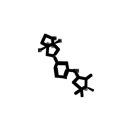 CC1C(Nc2cc(N3C[C@H]4CCN[C@H]4C3)ccn2)CC(C)(C)[C@H]1C